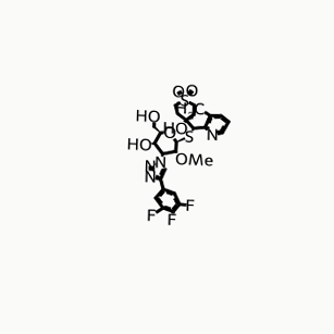 CO[C@@H]1[C@@H](n2cc(-c3cc(F)c(F)c(F)c3)nn2)[C@@H](O)[C@@H](CO)O[C@H]1S[C@H](c1ncccc1C)C1(O)CCS(=O)(=O)CC1